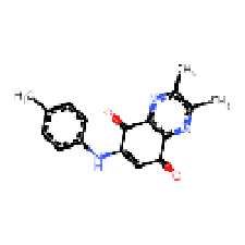 Cc1ccc(NC2=CC(=O)c3nc(C)c(C)nc3C2=O)cc1